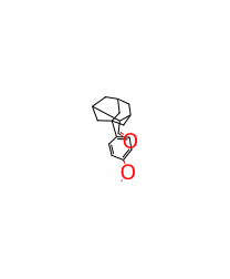 COc1ccc(C23CC4CC(C2)C(C=O)C(C4)C3)cc1